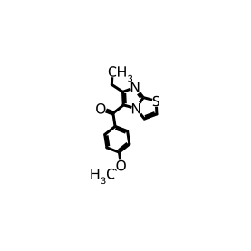 CCc1nc2sccn2c1C(=O)c1ccc(OC)cc1